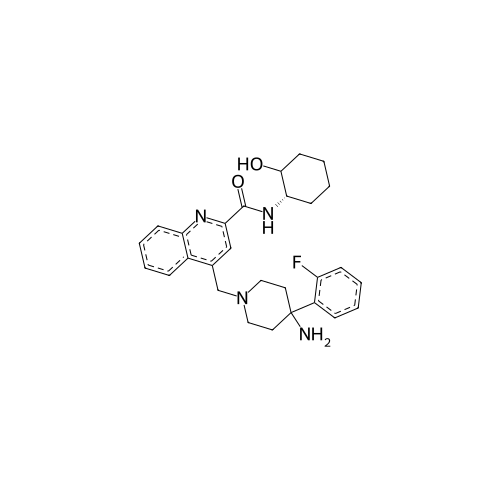 NC1(c2ccccc2F)CCN(Cc2cc(C(=O)N[C@H]3CCCCC3O)nc3ccccc23)CC1